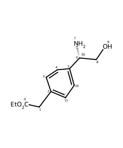 CCOC(=O)Cc1ccc([C@H](N)CO)cc1